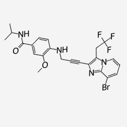 COc1cc(C(=O)NC(C)C)ccc1NCC#Cc1nc2c(Br)cccn2c1CC(F)(F)F